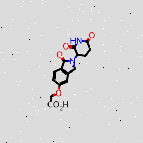 O=C(O)COc1ccc2c(c1)CN(C1CCC(=O)NC1=O)C2=O